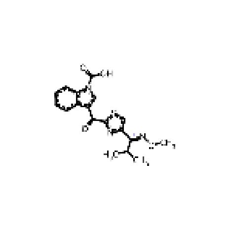 CO/N=C(/c1csc(C(=O)c2cn(C(=O)O)c3ccccc23)n1)C(C)C